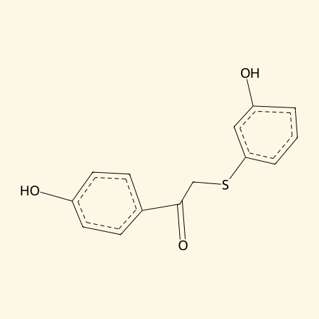 O=C(CSc1cccc(O)c1)c1ccc(O)cc1